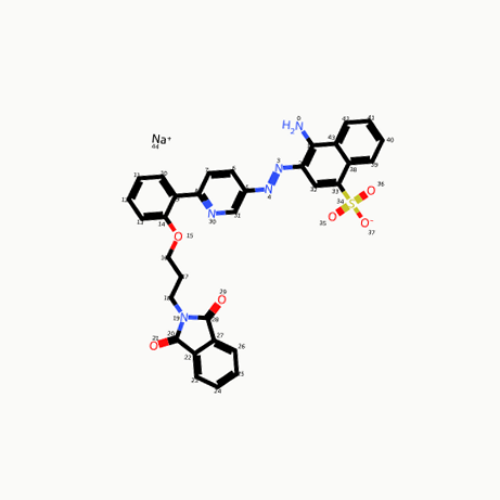 Nc1c(N=Nc2ccc(-c3ccccc3OCCCN3C(=O)c4ccccc4C3=O)nc2)cc(S(=O)(=O)[O-])c2ccccc12.[Na+]